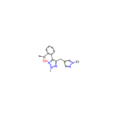 CCn1cc(Cc2nn(C)nc2-c2ccccc2[C@H](C)O)cn1